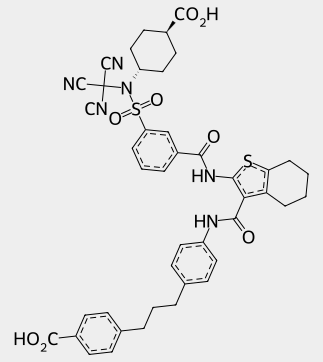 N#CC(C#N)(C#N)N([C@H]1CC[C@H](C(=O)O)CC1)S(=O)(=O)c1cccc(C(=O)Nc2sc3c(c2C(=O)Nc2ccc(CCCc4ccc(C(=O)O)cc4)cc2)CCCC3)c1